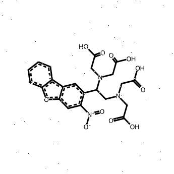 O=C(O)CN(CC(=O)O)CC(c1cc2c(cc1[N+](=O)[O-])oc1ccccc12)N(CC(=O)O)CC(=O)O